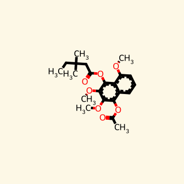 CCC(C)(C)CC(=O)Oc1c(OC)c(OC)c(OC(C)=O)c2cccc(OC)c12